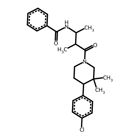 CC(NC(=O)c1ccccc1)C(C)C(=O)N1CCC(c2ccc(Cl)cc2)C(C)(C)C1